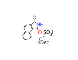 CCCCCCCCCCCCS(=O)(=O)O.O=C1NC(=O)c2c1ccc1ccccc21